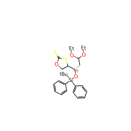 CCOC(C[C@H](O[Si](c1ccccc1)(c1ccccc1)C(C)(C)C)C1COC(=S)S1)OCC